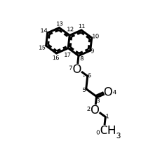 CCOC(=O)C[CH]Oc1cccc2ccccc12